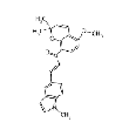 COc1ccc(C(=O)/C=C/c2ccc3c(ccn3C)c2)c2c1C=CC(C)(C)O2